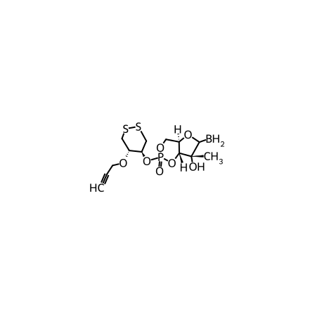 BC1O[C@@H]2COP(=O)(O[C@@H]3CSSC[C@H]3OCC#C)O[C@H]2[C@@]1(C)O